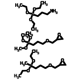 CCO[Si](C)(CCCOCC1CO1)OCC.CCO[Si](CCCN)(OCC)OCC.CO[Si](CCCOCC1CO1)(OC)OC